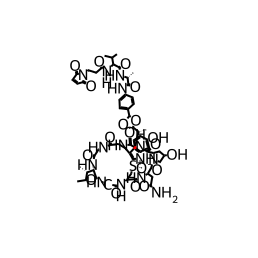 CC[C@H](C)[C@@H]1NC(=O)CNC(=O)C2Cc3c([nH]c4cc(O)ccc34)[S@+]([O-])CC(NC(=O)CNC1=O)C(=O)NC(CC(N)=O)C(=O)N1CC(O)CC1C(=O)N[C@@H]([C@@H](C)[C@@H]1COC(c3ccc(NC(=O)[C@@H](C)NC(=O)C(NC(=O)CCN4C(=O)C=CC4=O)C(C)C)cc3)O1)C(=O)N2